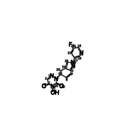 O=c1cnn(-c2ccc3nn(-c4cncc(F)c4)cc3c2)c(=O)n1O